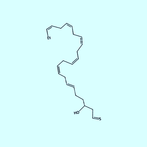 CC/C=C\C/C=C\C/C=C\C/C=C\C/C=C\C/C=C/CCC(O)CC=S